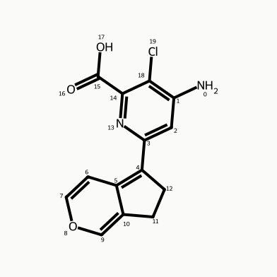 Nc1cc(C2=C3C=COC=C3CC2)nc(C(=O)O)c1Cl